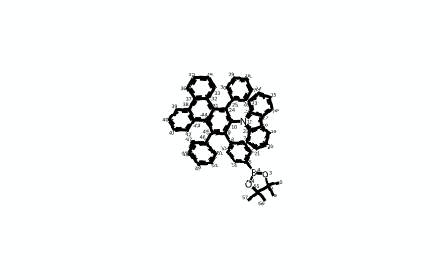 CC1(C)OB(c2ccc(-c3c(-n4c5ccccc5c5ccccc54)c(-c4ccccc4)c4c5ccccc5c5ccccc5c4c3-c3ccccc3)cc2)OC1(C)C